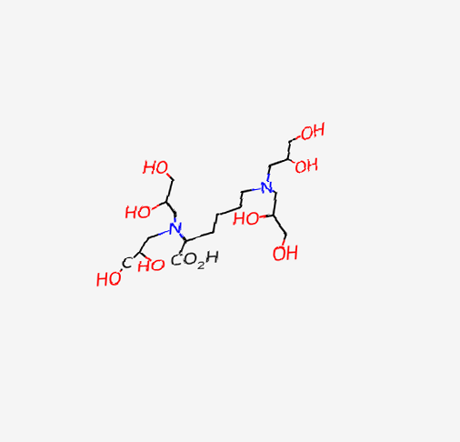 O=C(O)C(CCCCN(CC(O)CO)CC(O)CO)N(CC(O)CO)CC(O)CO